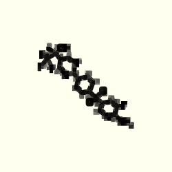 C[C@@](O)(c1cnc(-c2ccc(S(=O)(=O)c3cnc(N)c(F)c3)cc2)nc1)C(F)(F)F